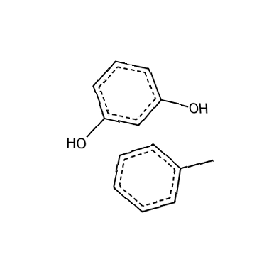 Cc1ccccc1.Oc1cccc(O)c1